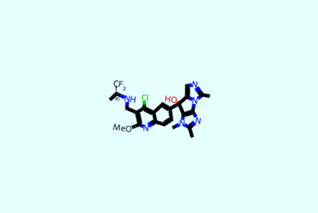 COc1nc2ccc(C3(O)c4c(nc(C)n4C)-n4c3cnc4C)cc2c(Cl)c1CN[C@H](C)C(F)(F)F